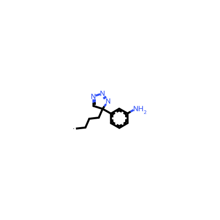 [CH2]CCCC1(c2cccc(N)c2)C=NN=N1